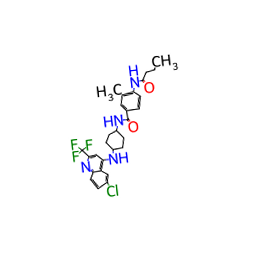 CCCC(=O)Nc1ccc(C(=O)NC2CCC(Nc3cc(C(F)(F)F)nc4ccc(Cl)cc34)CC2)cc1C